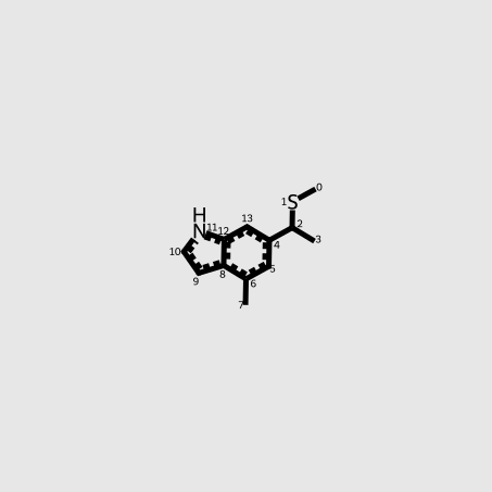 CSC(C)c1cc(C)c2cc[nH]c2c1